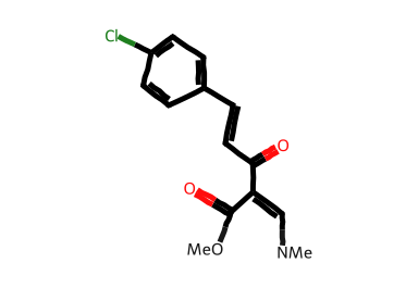 CNC=C(C(=O)C=Cc1ccc(Cl)cc1)C(=O)OC